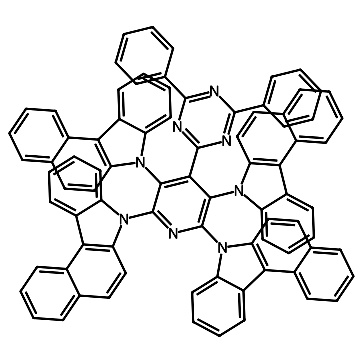 c1ccc(-c2nc(-c3ccccc3)nc(-c3c(-n4c5ccccc5c5c6ccccc6ccc54)c(-n4c5ccccc5c5c6ccccc6ccc54)nc(-n4c5ccccc5c5c6ccccc6ccc54)c3-n3c4ccccc4c4c5ccccc5ccc43)n2)cc1